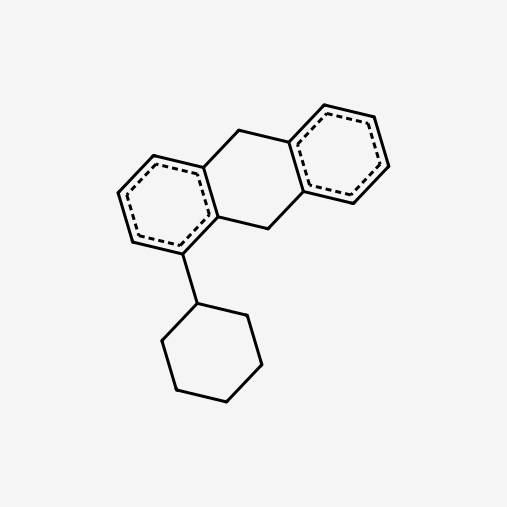 c1ccc2c(c1)Cc1cccc(C3CCCCC3)c1C2